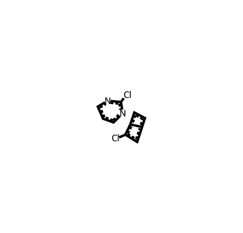 Clc1cc2ccc1-2.Clc1ncccn1